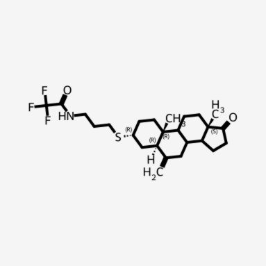 C=C1CC2C3CCC(=O)[C@@]3(C)CCC2[C@@]2(C)CC[C@@H](SCCCNC(=O)C(F)(F)F)C[C@H]12